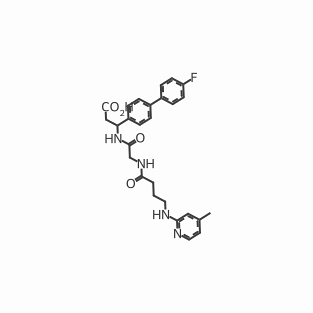 Cc1ccnc(NCCCC(=O)NCC(=O)NC(CC(=O)O)c2ccc(-c3ccc(F)cc3)cc2)c1